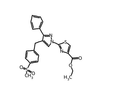 CCOC(=O)c1csc(-n2cc(Cc3ccc(S(C)(=O)=O)cc3)c(-c3ccccc3)n2)n1